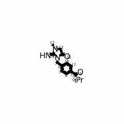 CC(C)C(=O)c1ccc(CN2C(=N)N(C)CC2=O)cc1